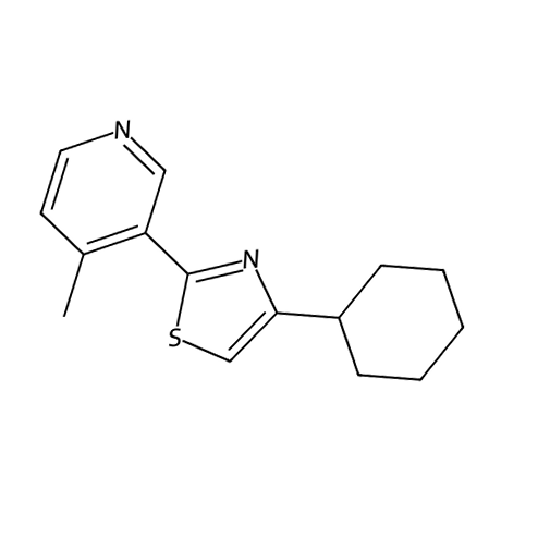 Cc1ccncc1-c1nc(C2CCCCC2)cs1